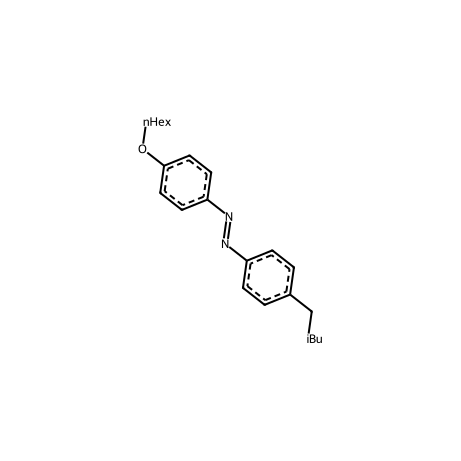 CCCCCCOc1ccc(N=Nc2ccc(CC(C)CC)cc2)cc1